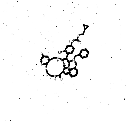 C[C@H]1CNC(=O)c2cnn3c(N(Cc4ccccc4)Cc4ccccc4)c(-c4ccc(NC(=O)OCC5CC5)cc4Cl)c(nc23)NCc2cc(F)cnc2O1